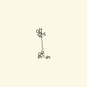 CC(C)CC(C)(C(=O)OCCCCCCCCn1ccc(=O)[nH]c1=S)C(C)C